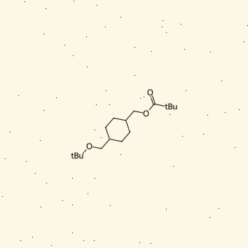 CC(C)(C)OCC1CCC(COC(=O)C(C)(C)C)CC1